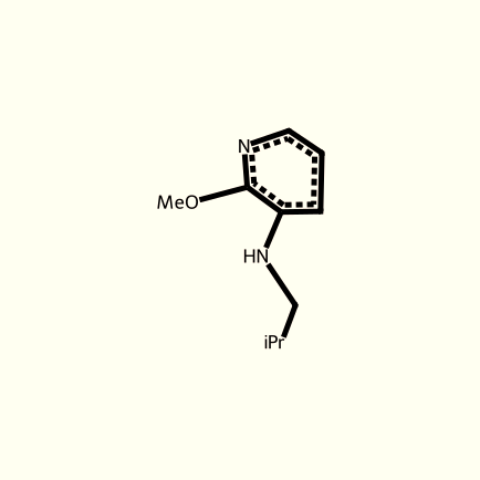 COc1ncccc1NCC(C)C